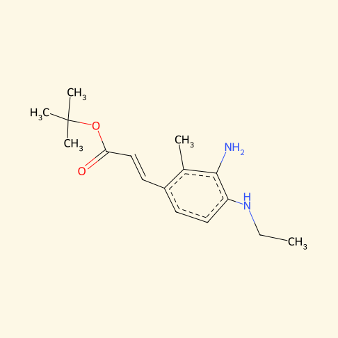 CCNc1ccc(/C=C/C(=O)OC(C)(C)C)c(C)c1N